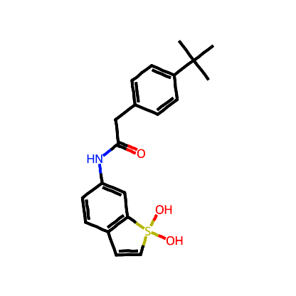 CC(C)(C)c1ccc(CC(=O)Nc2ccc3c(c2)S(O)(O)C=C3)cc1